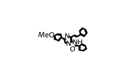 COc1ccc(-c2cnc(NC(=O)c3ccccc3)c(/C=C/c3ccccc3)n2)cc1